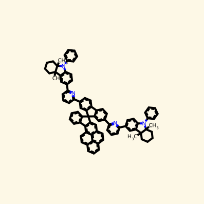 CC12CCCCC1(C)N(c1ccccc1)c1ccc(-c3cccc(-c4ccc5c(c4)C4(c6cc(-c7cccc(-c8ccc9c(c8)C8(C)CCCCC8(C)N9c8ccccc8)n7)ccc6-5)c5ccccc5-c5c4cc4ccc6cccc7ccc5c4c67)n3)cc12